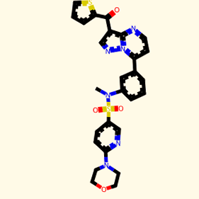 CN(c1cccc(-c2ccnc3c(C(=O)c4cccs4)cnn23)c1)S(=O)(=O)c1ccc(N2CCOCC2)nc1